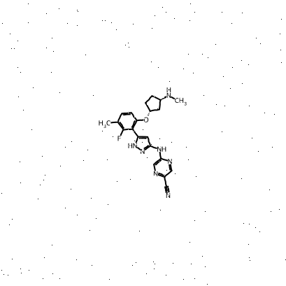 CN[C@@H]1CC[C@@H](Oc2ccc(C)c(F)c2-c2cc(Nc3cnc(C#N)cn3)n[nH]2)C1